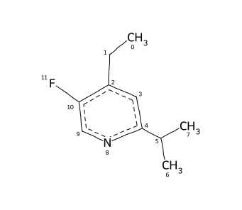 CCc1cc(C(C)C)ncc1F